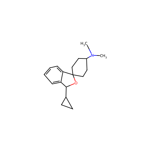 CN(C)C1CCC2(CC1)OC(C1CC1)c1ccccc12